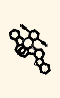 N#Cc1ccc(C#N)c(-n2c3ccccc3c3c4oc5ccccc5c4ccc32)c1-n1c2ccccc2c2ccccc21